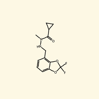 CN(NCc1cccc2c1OC(F)(F)O2)C(=O)C1CC1